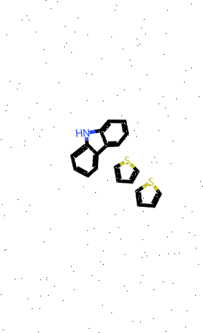 c1ccc2c(c1)[nH]c1ccccc12.c1ccsc1.c1ccsc1